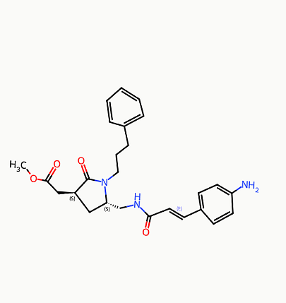 COC(=O)C[C@@H]1C[C@@H](CNC(=O)/C=C/c2ccc(N)cc2)N(CCCc2ccccc2)C1=O